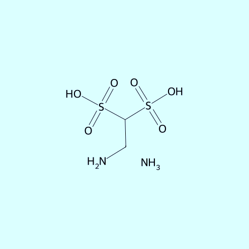 N.NCC(S(=O)(=O)O)S(=O)(=O)O